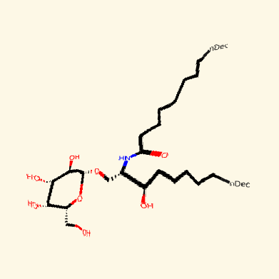 CCCCCCCCCCCCCCCCCC(=O)N[C@@H](CO[C@@H]1O[C@H](CO)[C@H](O)[C@H](O)[C@H]1O)[C@H](O)CCCCCCCCCCCCCCC